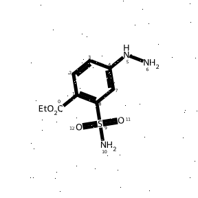 CCOC(=O)c1ccc(NN)cc1S(N)(=O)=O